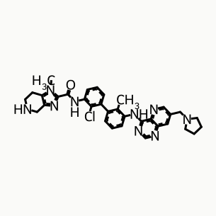 Cc1c(Nc2ncnc3cc(CN4CCCC4)cnc23)cccc1-c1cccc(NC(=O)c2nc3c(n2C)CCNC3)c1Cl